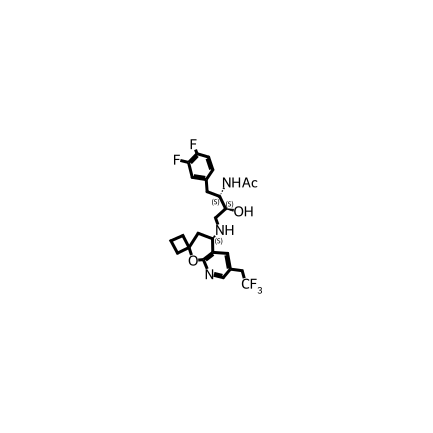 CC(=O)N[C@@H](Cc1ccc(F)c(F)c1)[C@@H](O)CN[C@H]1CC2(CCC2)Oc2ncc(CC(F)(F)F)cc21